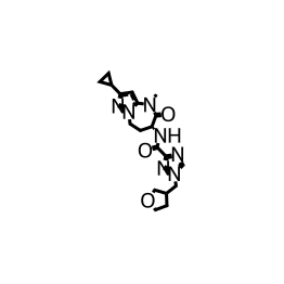 CN1C(=O)[C@@H](NC(=O)c2ncn(CC3CCOC3)n2)CCn2nc(C3CC3)cc21